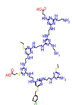 CCSc1nc(N)nc(NCCNc2nc(NCCNc3nc(NCCNc4nc(NCCNc5nc(NCCN)nc(NCCNc6nc(NCCN)nc(NCCC(=O)O)n6)n5)nc(SCC)n4)nc(SCCC(=O)O)n3)cc(SCc3ccc(Cl)cc3)n2)n1